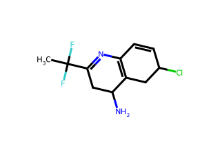 CC(F)(F)C1=NC2=C(CC(Cl)C=C2)C(N)C1